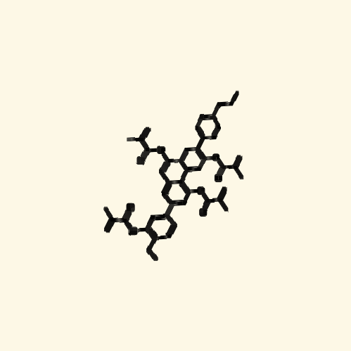 C=C(C)C(=O)Oc1cc(-c2cc(OC(=O)C(=C)C)c3c(c2)cc(OC(=O)C(=C)C)c2cc(-c4ccc(CCC)cc4)c(OC(=O)C(=C)C)cc23)ccc1CC